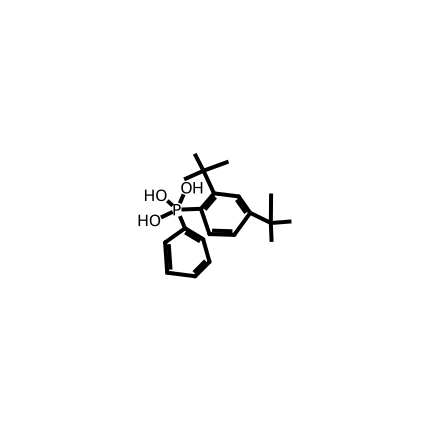 CC(C)(C)c1ccc(P(O)(O)(O)c2ccccc2)c(C(C)(C)C)c1